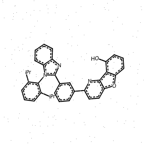 CC(C)c1cccc(C(C)C)c1-n1c(-c2cccc(-c3ccc4oc5cccc(O)c5c4n3)c2)nc2ccccc21